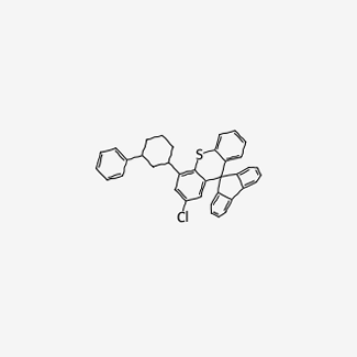 Clc1cc(C2CCCC(c3ccccc3)C2)c2c(c1)C1(c3ccccc3S2)c2ccccc2-c2ccccc21